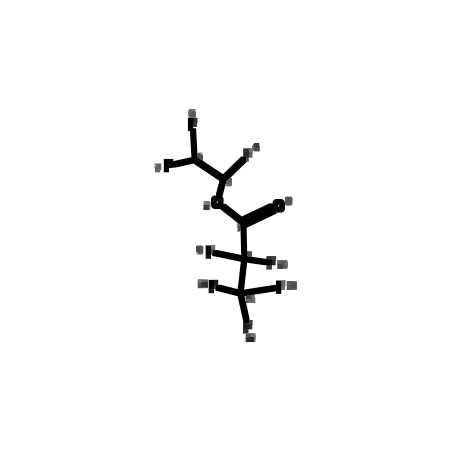 O=C(OC(F)C(F)F)C(F)(F)C(F)(F)F